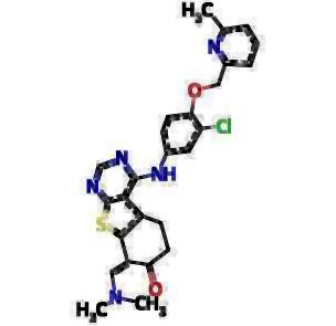 Cc1cccc(COc2ccc(Nc3ncnc4sc5c(c34)CCC(=O)/C5=C\N(C)C)cc2Cl)n1